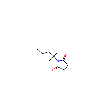 CCCC(C)(C)N1C(=O)CCC1=O